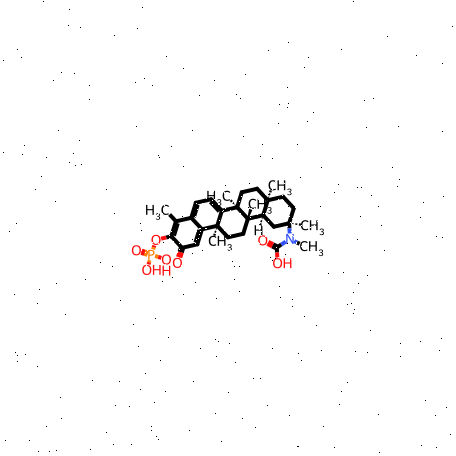 CC1=C(OP(=O)(O)O)C(=O)C=C2C1=CC=C1[C@@]2(C)CC[C@@]2(C)[C@@H]3C[C@](C)(N(C)C(=O)O)CC[C@]3(C)CC[C@]12C